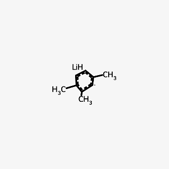 Cc1[c]c(C)c(C)cc1.[LiH]